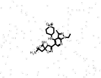 CCn1nc(C)c2c(NC3CCS(=O)(=O)CC3)c(C3=NOC(CC(N)=O)(C(N)=O)C3)cnc21